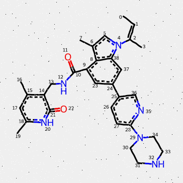 C/C=C(/C)n1cc(C)c2c(C(=O)NCc3c(C)cc(C)[nH]c3=O)cc(-c3ccc(N4CCNCC4)nc3)cc21